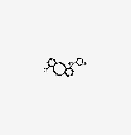 Clc1cccc2c1C=NCc1cccc(NC3CCNC3)c1C=C2